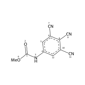 [CH2]OC(=O)Nc1cc(C#N)c(C#N)c(C#N)c1